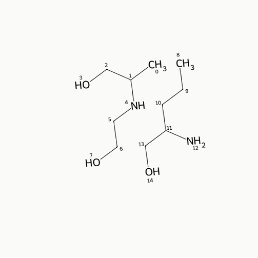 CC(CO)NCCO.CCCC(N)CO